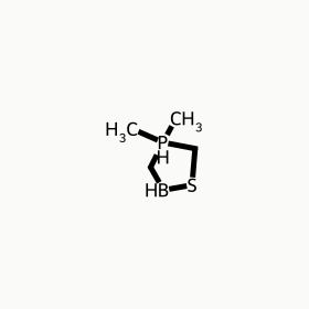 C[PH]1(C)CBSC1